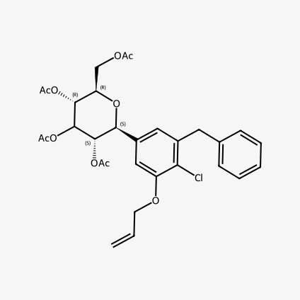 C=CCOc1cc([C@@H]2O[C@H](COC(C)=O)[C@@H](OC(C)=O)C(OC(C)=O)[C@H]2OC(C)=O)cc(Cc2ccccc2)c1Cl